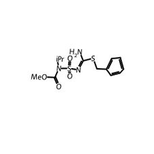 COC(=O)N(C(C)C)S(=O)(=O)N=C(N)SCc1ccccc1